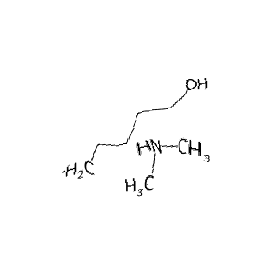 CNC.[CH2]CCCCO